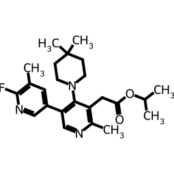 Cc1cc(-c2cnc(C)c(CC(=O)OC(C)C)c2N2CCC(C)(C)CC2)cnc1F